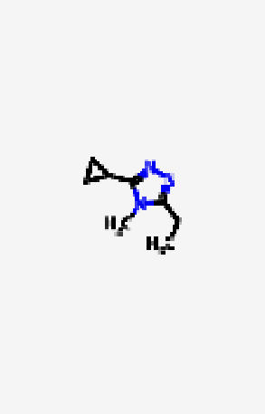 CCc1nnc(C2CC2)n1C